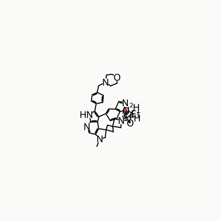 [2H]C([2H])([2H])n1ncc2cc(-c3c(-c4ccc(CN5CCOCC5)cc4)[nH]c4ncc5c(c34)C3(CN5C)CC4(CN(S(=O)(=O)CC)C4)C3)ccc21